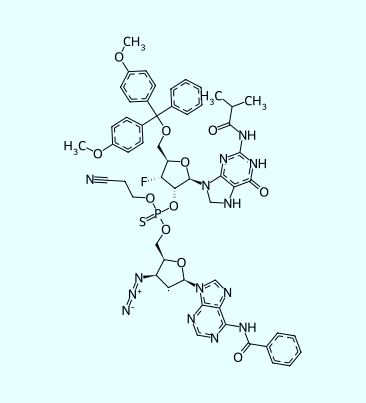 COc1ccc(C(OC[C@H]2O[C@@H](N3CNc4c3nc(NC(=O)C(C)C)[nH]c4=O)[C@H](OP(=S)(OCCC#N)OC[C@H]3O[C@@H](n4cnc5c(NC(=O)c6ccccc6)ncnc54)[CH][C@H]3N=[N+]=[N-])[C@@H]2F)(c2ccccc2)c2ccc(OC)cc2)cc1